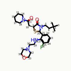 CC(C)(C)CCN1C(=O)[C@H](CC(=O)N2CC[CH]CC2)SC1c1cccc(F)c1NCCN1CCOCC1